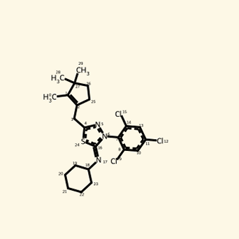 CC1=C(Cc2nn(-c3c(Cl)cc(Cl)cc3Cl)c(=NC3CCCCC3)s2)CCC1(C)C